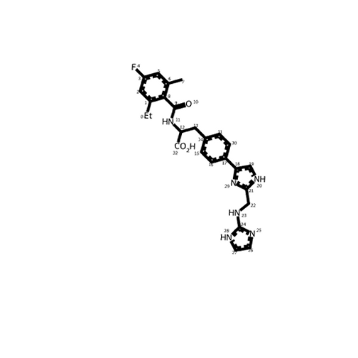 CCc1cc(F)cc(C)c1C(=O)NC(Cc1ccc(-c2c[nH]c(CNc3ncc[nH]3)n2)cc1)C(=O)O